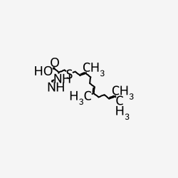 CC(C)=CCCC(C)=CCCC(C)=CCSCC(NC=N)C(=O)O